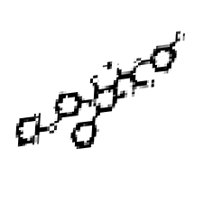 O=c1oc2cc(-c3ccccc3)n(-c3cccc(Oc4ncccn4)c3)c(=O)c2c(O)c1Sc1cccc(Br)c1